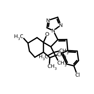 CC1CCC(C(C)C)C([O])(C(/C(=C\c2ccc(Cl)cc2)n2cncn2)C(C)(C)C)C1